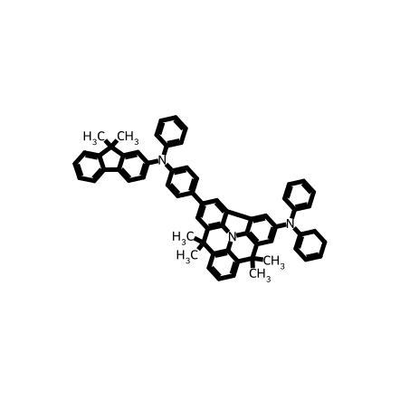 CC1(C)c2ccccc2-c2ccc(N(c3ccccc3)c3ccc(-c4cc5c6c(c4)c4cc(N(C7=CC=CCC7)c7ccccc7)cc7c4n6-c4c(cccc4C7(C)C)C5(C)C)cc3)cc21